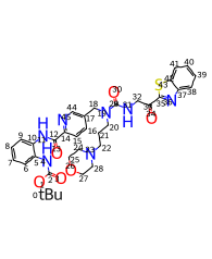 CC(C)(C)OC(=O)Nc1ccccc1NC(=O)c1ccc(CN(CCCN2CCOCC2)C(=O)NCC(=O)c2nc3ccccc3s2)cn1